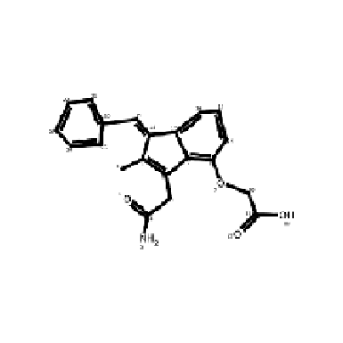 CC1=C(CC(N)=O)c2c(OCC(=O)O)cccc2C1=Cc1ccccc1